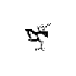 O=C(O)C1(c2ccncc2OC(F)F)CC1